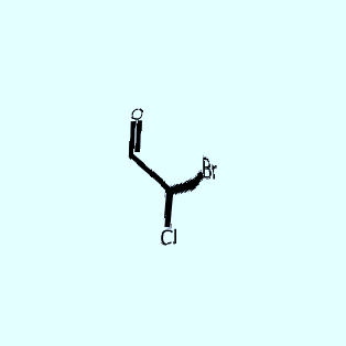 O=CC(Cl)Br